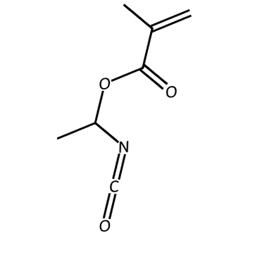 C=C(C)C(=O)OC(C)N=C=O